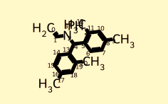 C=CN(P)C(c1ccc(C)cc1C)c1ccc(C)cc1C